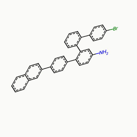 Nc1ccc(-c2ccc(-c3ccc4ccccc4c3)cc2)c(-c2ccccc2-c2ccc(Br)cc2)c1